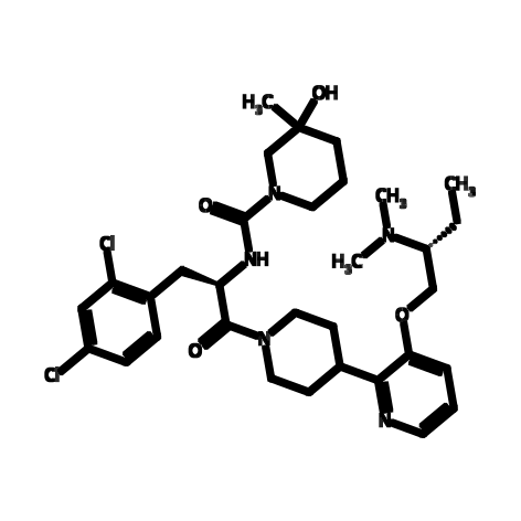 CC[C@H](COc1cccnc1C1CCN(C(=O)[C@@H](Cc2ccc(Cl)cc2Cl)NC(=O)N2CCCC(C)(O)C2)CC1)N(C)C